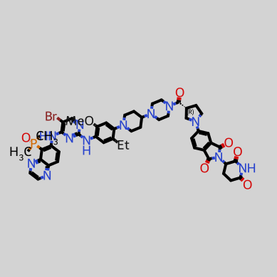 CCc1cc(Nc2ncc(Br)c(Nc3ccc4nccnc4c3P(C)(C)=O)n2)c(OC)cc1N1CCC(N2CCN(C(=O)[C@@H]3CCN(c4ccc5c(c4)C(=O)N(C4CCC(=O)NC4=O)C5=O)C3)CC2)CC1